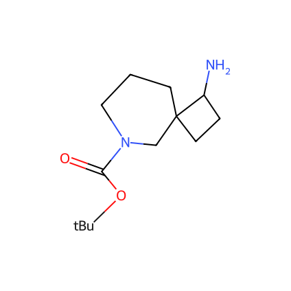 CC(C)(C)OC(=O)N1CCCC2(CCC2N)C1